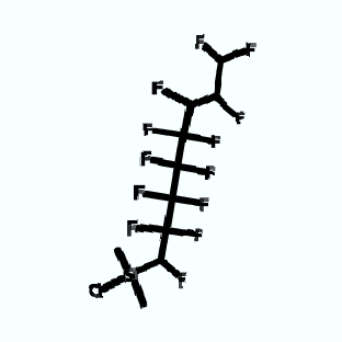 C[Si](C)(Cl)C(F)C(F)(F)C(F)(F)C(F)(F)C(F)(F)C(F)C(F)C(F)F